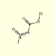 CCOC(=O)/N=[SH](/C)=O